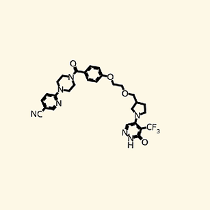 N#Cc1ccc(N2CCN(C(=O)c3ccc(OCCOCC4CCN(c5cn[nH]c(=O)c5C(F)(F)F)C4)cc3)CC2)nc1